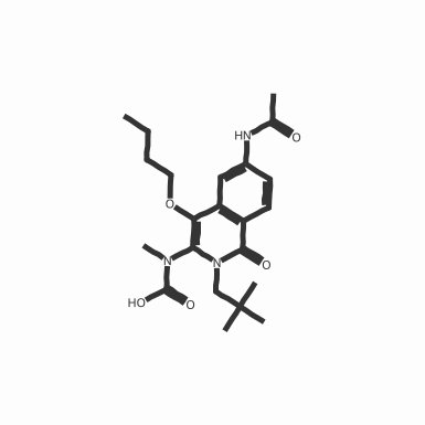 CCCCOc1c(N(C)C(=O)O)n(CC(C)(C)C)c(=O)c2ccc(NC(C)=O)cc12